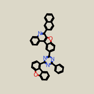 c1ccc(-c2nc(-c3ccc4oc5c(-c6ccc7ccccc7c6)nc6ccccc6c5c4c3)nc(-c3cccc4oc5ccccc5c34)n2)cc1